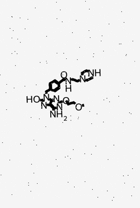 COCCOc1nc(N)c2nc(O)n(Cc3ccc(C(=O)NCCN4CCNCC4)cc3)c2n1